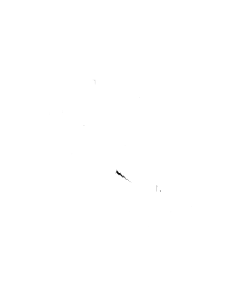 CCCC(CCC)=C(OC(=O)[C@@H]1CCC(=O)N1)C(=O)C=O